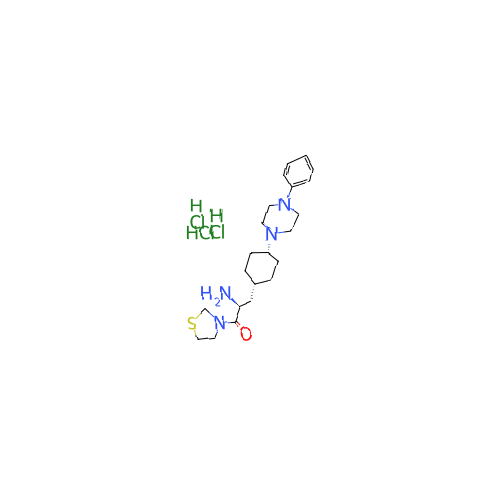 Cl.Cl.Cl.N[C@@H](C[C@H]1CC[C@@H](N2CCN(c3ccccc3)CC2)CC1)C(=O)N1CCSC1